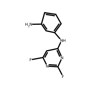 Nc1cccc(Nc2cc(F)nc(F)n2)c1